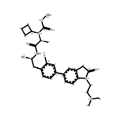 C[C@@H](C(=O)N[C@H](C#N)Cc1ccc(-c2ccc3c(c2)CC(=O)N3CCN(C)C)cc1F)N(C(=O)OC(C)(C)C)C1CCC1